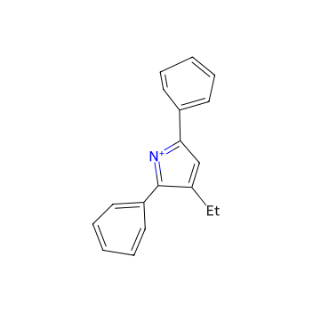 CCC1=CC(c2ccccc2)=[N+]=C1c1ccccc1